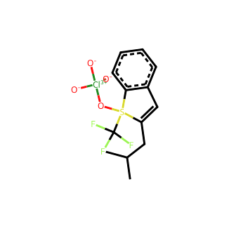 CC(C)CC1=Cc2ccccc2S1(O[Cl+3]([O-])([O-])[O-])C(F)(F)F